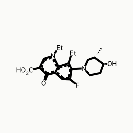 CCc1c(N2CC[C@H](O)[C@@H](C)C2)c(F)cc2c(=O)c(C(=O)O)cn(CC)c12